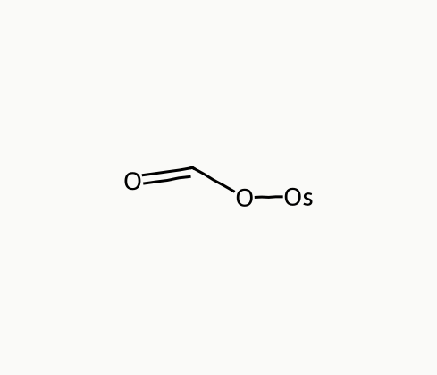 O=C[O][Os]